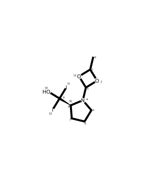 CC1OC(N2CCC[C@H]2C(O)(I)I)O1